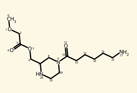 COCC(=O)OCC1CN(C(=O)CCCCCN)CCN1